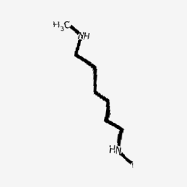 CNCCCCCCNI